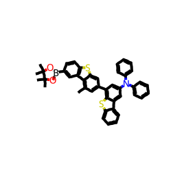 Cc1cc(-c2cc(N(c3ccccc3)c3ccccc3)cc3c2sc2ccccc23)cc2sc3ccc(B4OC(C)(C)C(C)(C)O4)cc3c12